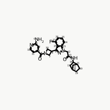 Nc1cc(C(=O)N2CC(c3nn(CC(=O)NC4CC5CCC4C5)c4cccc(F)c34)C2)ccn1